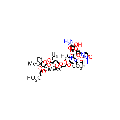 CCCCCCCCCCC(CC(=O)OC1CN(C)C(C(O[C@H]2C[C@H](O)[C@@H](CN)O2)[C@H]2O[C@@H](n3ccc(=O)[nH]c3=O)C[C@@H]2O)C(=O)N(C)C1C(=O)O)OC(=O)CC(C)CC(=O)OC1OC(CC)C(OC)C(OC(=O)CCC(=O)O)C1OC